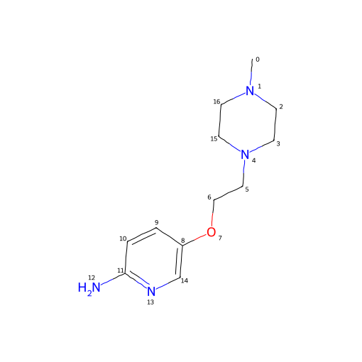 CN1CCN(CCOc2ccc(N)nc2)CC1